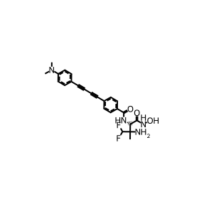 CN(C)c1ccc(C#CC#Cc2ccc(C(=O)N[C@H](C(=O)NO)C(C)(N)C(F)F)cc2)cc1